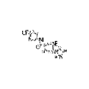 O=C(Nc1ccc(Cl)nc1)c1ccc(-n2ccnc2)c(F)c1